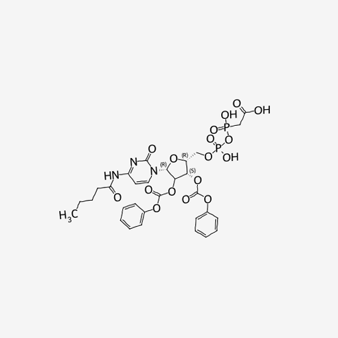 CCCCC(=O)Nc1ccn([C@@H]2O[C@H](COP(=O)(O)OP(=O)(O)CC(=O)O)[C@H](OC(=O)Oc3ccccc3)C2OC(=O)Oc2ccccc2)c(=O)n1